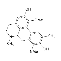 CNc1c(O)c(C)cc2c1CC1c3c(cc(O)c(OC)c3-2)CCN1C